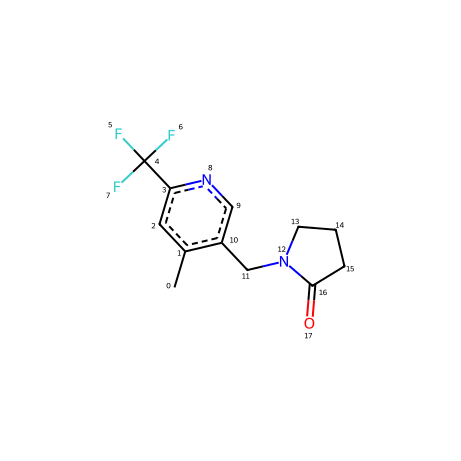 Cc1cc(C(F)(F)F)ncc1CN1CCCC1=O